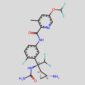 Cc1cc(OC(F)F)cnc1C(=O)Nc1ccc(F)c([C@](NC(N)=O)(C(F)F)[C@H]2C[C@H]2N)c1